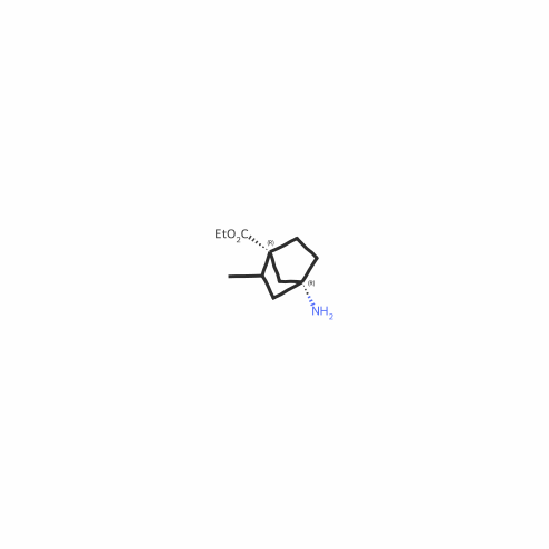 CCOC(=O)[C@@]12CC[C@@](N)(CC1C)C2